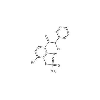 CCC(C(=O)c1ccc(C(C)C)c(OS(N)(=O)=O)c1C(C)C)c1ccccc1